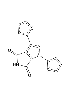 O=C1NC(=O)c2c(-c3cccs3)sc(-c3cccs3)c21